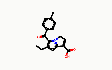 CCc1cc2n(c1C(=O)c1ccc(C)cc1)CC=C2C(=O)O